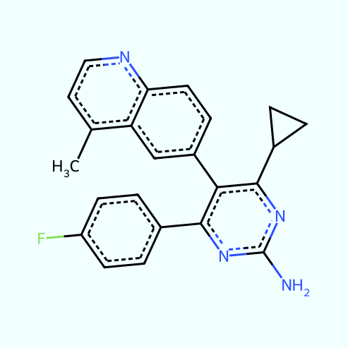 Cc1ccnc2ccc(-c3c(-c4ccc(F)cc4)nc(N)nc3C3CC3)cc12